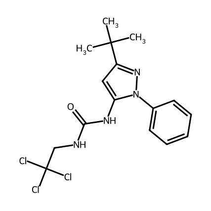 CC(C)(C)c1cc(NC(=O)NCC(Cl)(Cl)Cl)n(-c2ccccc2)n1